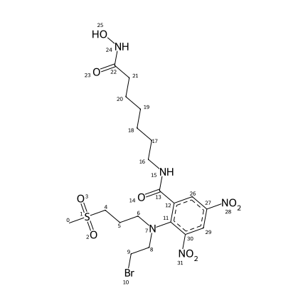 CS(=O)(=O)CCCN(CCBr)c1c(C(=O)NCCCCCCC(=O)NO)cc([N+](=O)[O-])cc1[N+](=O)[O-]